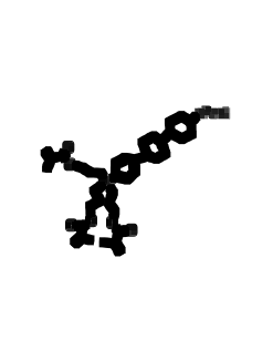 C=C(C)C(=O)OCCC[Si](CCCOC(=O)C(=C)C)(CCCOC(=O)C(=C)C)c1ccc(C2CCC(C3CCC(CCCCC)CC3)CC2)cc1